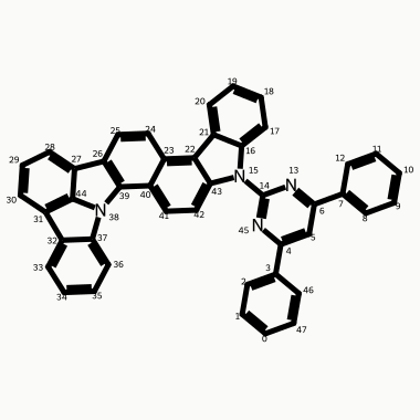 c1ccc(-c2cc(-c3ccccc3)nc(-n3c4ccccc4c4c5ccc6c7cccc8c9ccccc9n(c6c5ccc43)c87)n2)cc1